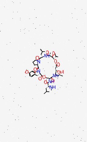 CC[C@H](C)C1NC(=O)[C@@H](NC(=O)[C@@H](CC(C)C)NC)[C@@H](C)OC(=O)[C@H](Cc2ccc(OC)cc2)N(C)C(=O)C2CCCN2C(=O)[C@H](CC(C)C)NC(=O)[C@@H](C)C(=O)[C@H](C(C)C)OC(=O)C[C@@H]1O